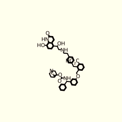 O=C(N[C@@H](c1ccccc1)c1cccc(OCc2cccc(C(=O)O)c2Cc2ccc(CCNCC(O)c3ccc(O)c4[nH]c(=O)ccc34)cc2)c1)OC1CN2CCC1CC2